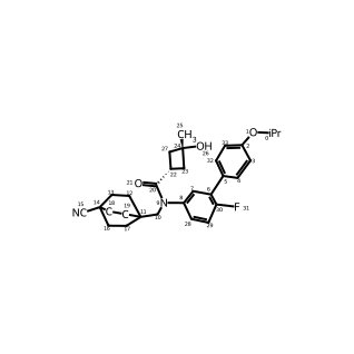 CC(C)Oc1ccc(-c2cc(N(CC34CCC(C#N)(CC3)CC4)C(=O)[C@H]3C[C@@](C)(O)C3)ccc2F)cc1